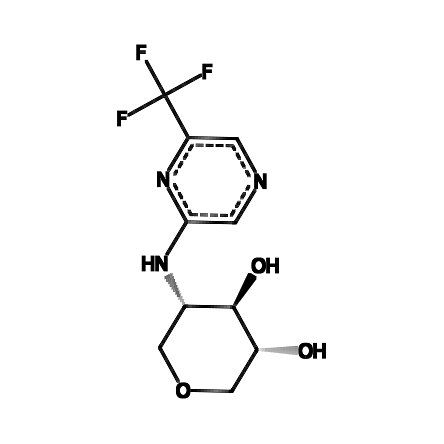 O[C@H]1[C@H](O)COC[C@@H]1Nc1cncc(C(F)(F)F)n1